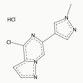 Cl.Cn1cc(-c2cn3nccc3c(Cl)n2)cn1